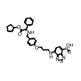 O=C(OC1CCCC1)[C@@H](NCc1ccc(OCCCNc2ccc([N+](=O)O)c3nonc23)cc1)c1ccccc1